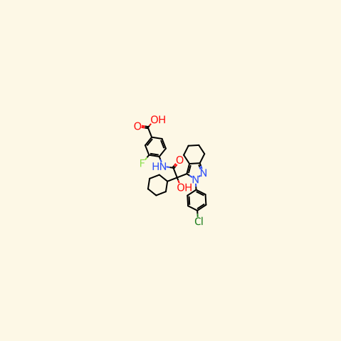 O=C(O)c1ccc(NC(=O)C(O)(c2c3c(nn2-c2ccc(Cl)cc2)CCCC3)C2CCCCC2)c(F)c1